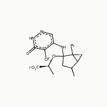 CC1CC(Nc2cn[nH]c(=O)c2C(F)(F)F)(O[C@@H](C)C(=O)O)C2(C(C)C)CC12